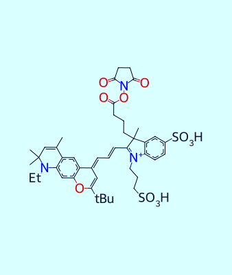 CCN1c2cc3c(cc2C(C)=CC1(C)C)/C(=C/C=C/C1=[N+](CCCS(=O)(=O)O)c2ccc(S(=O)(=O)O)cc2C1(C)CCCC(=O)ON1C(=O)CCC1=O)C=C(C(C)(C)C)O3